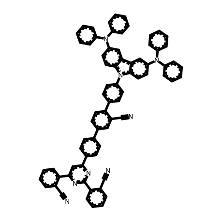 N#Cc1cc(-c2ccc(-c3cc(-c4ccccc4C#N)nc(-c4ccccc4C#N)n3)cc2)ccc1-c1ccc(-n2c3ccc(N(c4ccccc4)c4ccccc4)cc3c3cc(N(c4ccccc4)c4ccccc4)ccc32)cc1